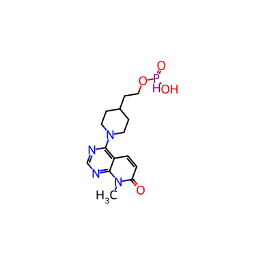 Cn1c(=O)ccc2c(N3CCC(CCO[PH](=O)O)CC3)ncnc21